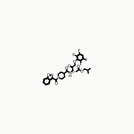 CC(C)COC(=O)C[C@H](NC(=O)C1CCN(C(=O)c2noc3ccccc23)CC1)C(=O)COc1c(F)c(F)cc(F)c1F